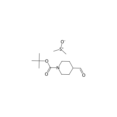 CC(C)(C)OC(=O)N1CCC(C=O)CC1.C[S+](C)[O-]